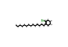 CCCCCCCCCCCCCCC1=C(Br)CCCC1